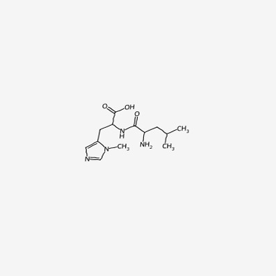 CC(C)CC(N)C(=O)NC(Cc1cncn1C)C(=O)O